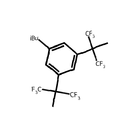 CCC(C)c1cc(C(C)(C(F)(F)F)C(F)(F)F)cc(C(C)(C(F)(F)F)C(F)(F)F)c1